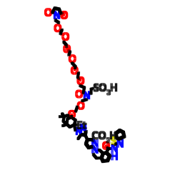 CCC1(Cn2ncc(-c3ccc(N4CCc5cccc(C(=O)Nc6nc7ccccc7s6)c5C4)nc3C(=O)O)c2C)CC2(C)CC(C)(C)CC(OCCOCCN(CCS(=O)(=O)O)C(=O)CCOCCOCCOCCOCCOCCOCCN3C(=O)C=CC3=O)(C2)C1